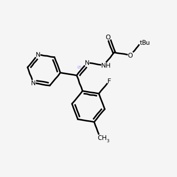 Cc1ccc(/C(=N\NC(=O)OC(C)(C)C)c2cncnc2)c(F)c1